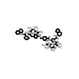 C[C@@H](C(=O)NC(Cc1ccc(OCc2ccc(C(=O)NC3CC(C(=O)NC4CCCc5ccccc54)N(C(=O)C(NC(=O)[C@H](C)N(C)C(=O)OC(C)(C)C)C(C)(C)C)C3)cc2)cc1)C(=O)[C@@H]1CC=CCC1C(=O)NC1CCCc2ccccc21)N(C)C(=O)OC(C)(C)C